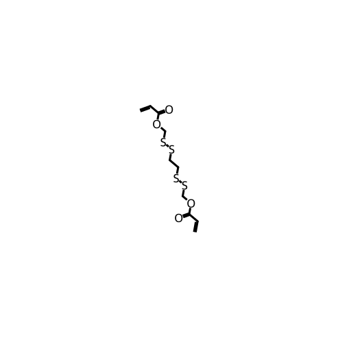 C=CC(=O)OCSSCCSSCOC(=O)C=C